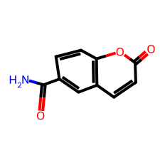 NC(=O)c1ccc2oc(=O)ccc2c1